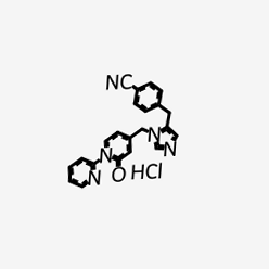 Cl.N#Cc1ccc(Cc2cncn2Cc2ccn(-c3ccccn3)c(=O)c2)cc1